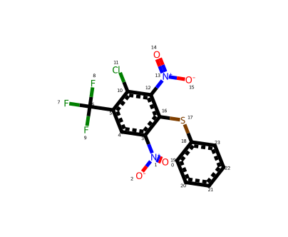 O=[N+]([O-])c1cc(C(F)(F)F)c(Cl)c([N+](=O)[O-])c1Sc1ccccc1